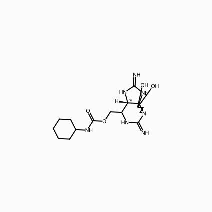 N=C1N[C@H]2C(COC(=O)NC3CCCCC3)NC(=N)N3CCC(O)(O)C23N1